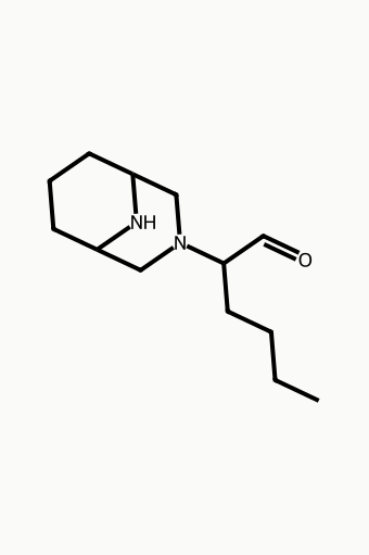 CCCCC(C=O)N1CC2CCCC(C1)N2